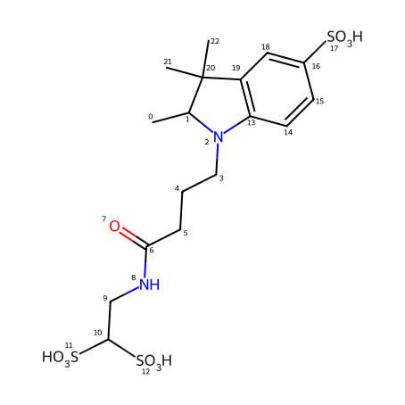 CC1N(CCCC(=O)NCC(S(=O)(=O)O)S(=O)(=O)O)c2ccc(S(=O)(=O)O)cc2C1(C)C